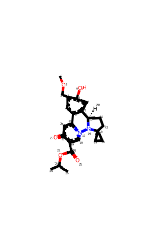 COCc1cc2c(cc1O)[C@H]1CCC3(CC3)N1n1cc(C(=O)OC(C)C)c(=O)cc1-2